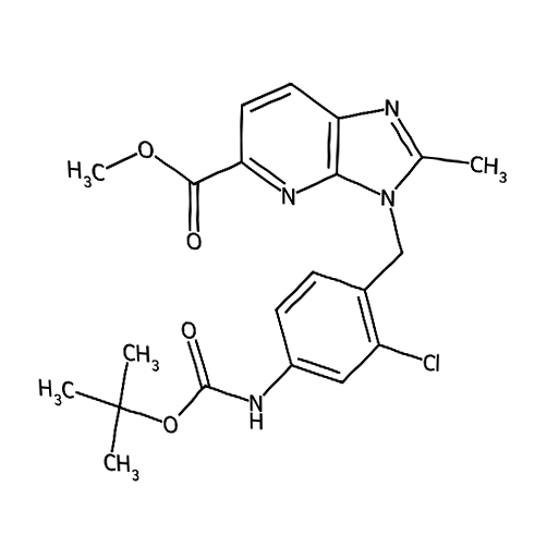 COC(=O)c1ccc2nc(C)n(Cc3ccc(NC(=O)OC(C)(C)C)cc3Cl)c2n1